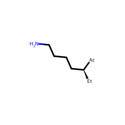 CC[C@@H](CCCCN)C(C)=O